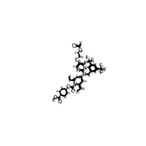 CCC1CC(N(Cc2cc(C(F)(F)F)cc(C(F)(F)F)c2)c2ncc(OCCOC(C)=O)cn2)CC(CC)N1C(=O)O[C@H]1CC[C@H](C(=O)OC)CC1